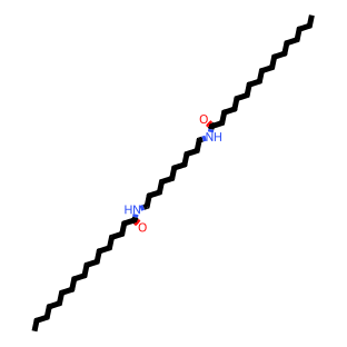 CCCCCCCCCCCCCCCCC(=O)NCCCCCCCCCCNC(=O)CCCCCCCCCCCCCCCC